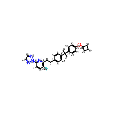 CC(C)(c1ccc(CCc2nc(-n3nccn3)ccc2F)cc1)c1ccc(OC2CCC2)cc1